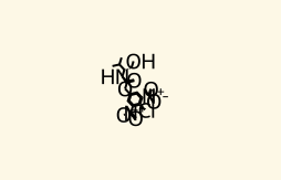 CC(C)[C@H](CO)NC(=O)Oc1cc([N+](=O)[O-])c(Cl)c([N+](=O)[O-])c1